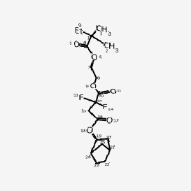 CCC(C)(C)C(=O)OCCOC(=O)C(F)(F)CC(=O)OC1CC2CCC1C2